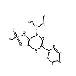 CC[C@@H](O)C1OC(c2ccccc2)OCC1OS(C)(=O)=O